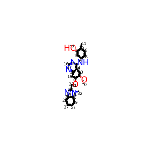 COc1cc2c(Nc3ccc(C)c(O)c3)ncnc2cc1OCc1nc2ccccc2n1C